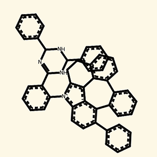 c1ccc(-c2ccc3c4c2-c2ccccc2-c2cccc5c2-c4c(n3-c2ccccc2C2=NC(c3ccccc3)NC(c3ccccc3)N2)CC5)cc1